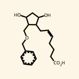 O=C(O)CCC/C=C\CC1C(O)CC(O)C1COCc1ccccc1